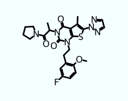 COc1ccc(F)cc1CCn1c(=O)n(C(C)C(=O)N2CCCC2)c(=O)c2c(C)c(-n3nccn3)sc21